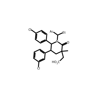 CCC(C(C)=O)N1C(=O)C(C)(CC(=O)O)CC(c2cccc(Cl)c2)C1c1ccc(Cl)cc1